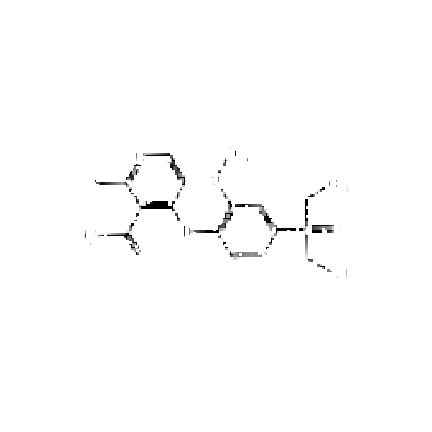 CCP(=O)(CC)c1ccc(Nc2ccnc(Cl)c2C(N)=O)c(OC)c1